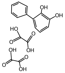 O=C(O)C(=O)O.O=C(O)C(=O)O.Oc1cccc(-c2ccccc2)c1O